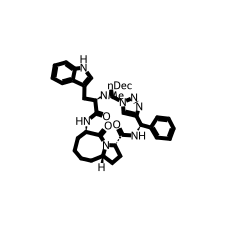 CCCCCCCCCCCn1cc([C@@H](NC(=O)[C@@H]2CC[C@@H]3CCCC[C@H](NC(=O)[C@H](Cc4c[nH]c5ccccc45)NC)C(=O)N32)c2ccccc2)nn1